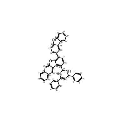 c1ccc(C2=NC(c3ccccc3)NC(c3ccc(-c4ccc5oc6ccccc6c5c4)c4oc5cc6ccccc6cc5c34)N2)cc1